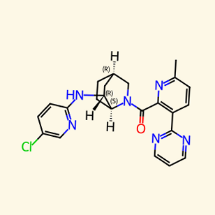 Cc1ccc(-c2ncccn2)c(C(=O)N2C[C@@H]3CC[C@H]2[C@H](Nc2ccc(Cl)cn2)C3)n1